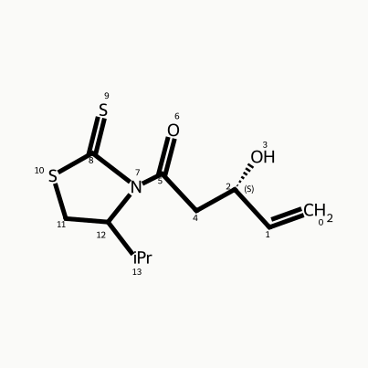 C=C[C@@H](O)CC(=O)N1C(=S)SCC1C(C)C